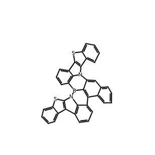 c1ccc2c3c4c(cc2c1)-n1c2c(cccc2c2sc5ccccc5c21)B4n1c2sc4ccccc4c2c2cccc-3c21